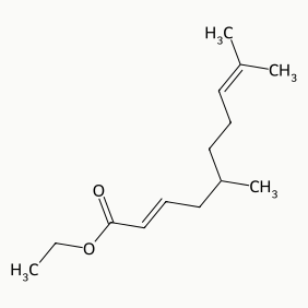 CCOC(=O)C=CCC(C)CCC=C(C)C